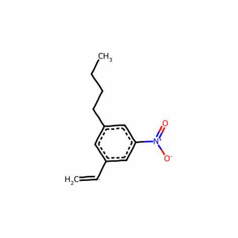 C=[C]c1cc(CCCC)cc([N+](=O)[O-])c1